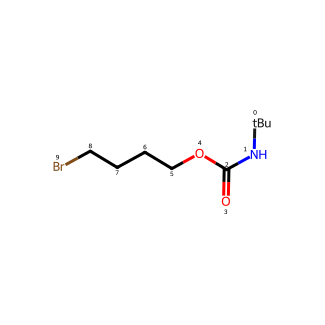 CC(C)(C)NC(=O)OCCCCBr